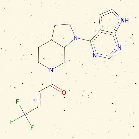 O=C(/C=C/C(F)(F)F)N1CCC2CCN(c3ncnc4[nH]ccc34)C2C1